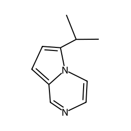 CC(C)c1ccc2cnccn12